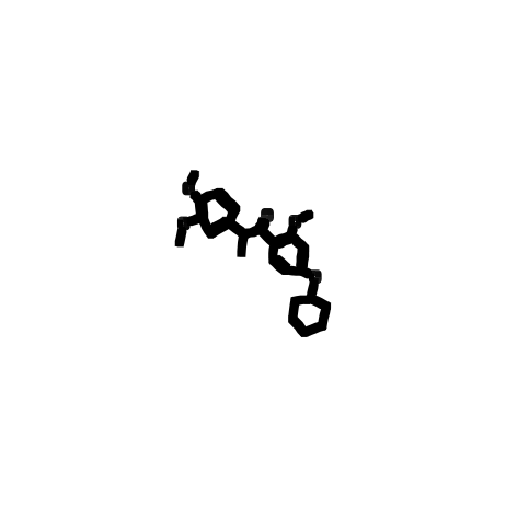 COc1ccc(C(C)C(=O)c2ccc(OC3CCCCC3)cc2OC)cc1OC